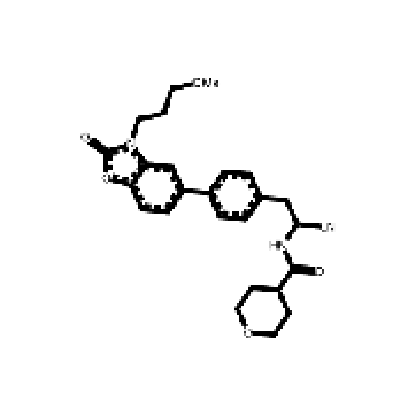 COCCCn1c(=O)oc2ccc(-c3ccc(CC(C#N)NC(=O)C4CCOCC4)cc3)cc21